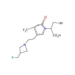 CC(C)CC(C(=O)O)n1cc(CCN2CC(CF)C2)c(C(F)(F)F)cc1=O